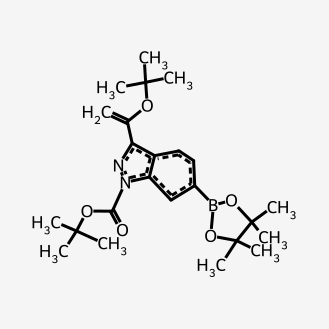 C=C(OC(C)(C)C)c1nn(C(=O)OC(C)(C)C)c2cc(B3OC(C)(C)C(C)(C)O3)ccc12